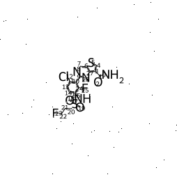 NC(=O)c1csc2cnc(-c3c(Cl)ccc(NS(=O)(=O)CCCF)c3F)nc12